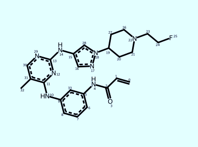 C=CC(=O)Nc1cccc(Nc2nc(Nc3cnn(C4CCN(CCF)CC4)c3)ncc2C)c1